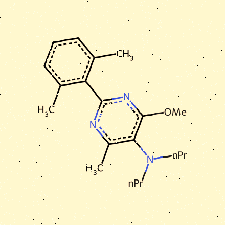 CCCN(CCC)c1c(C)nc(-c2c(C)cccc2C)nc1OC